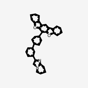 c1cc(-c2ccc(-c3c4oc5ccccc5c4cc4c3oc3ccccc34)cc2)cc(-c2cn3ccccc3n2)c1